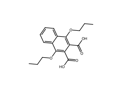 CCCOc1c(C(=O)O)c(C(=O)O)c(OCCC)c2ccccc12